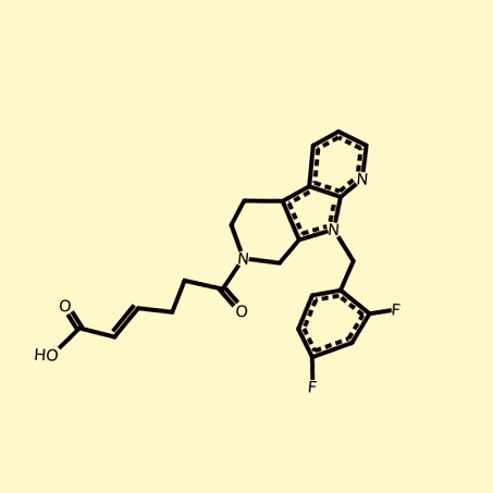 O=C(O)/C=C/CCC(=O)N1CCc2c(n(Cc3ccc(F)cc3F)c3ncccc23)C1